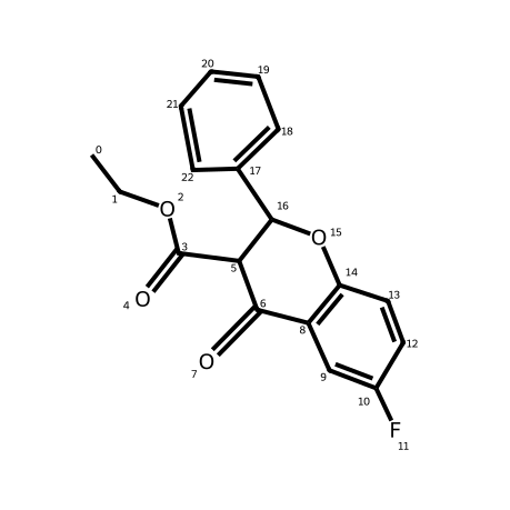 CCOC(=O)C1C(=O)c2cc(F)ccc2OC1c1ccccc1